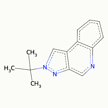 CC(C)(C)n1cc2c(cnc3ccccc32)n1